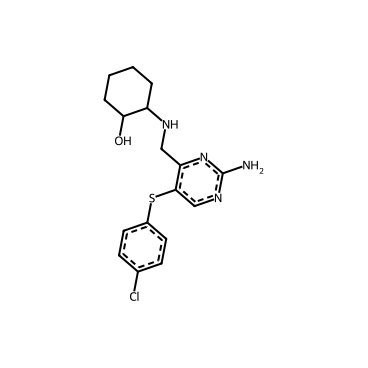 Nc1ncc(Sc2ccc(Cl)cc2)c(CNC2CCCCC2O)n1